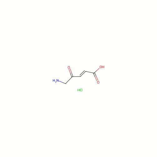 Cl.NCC(=O)C=CC(=O)O